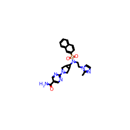 Cc1nccn1CCN(C1C2CN(c3ncc(C(N)=O)cn3)CC21)S(=O)(=O)c1ccc2ccccc2c1